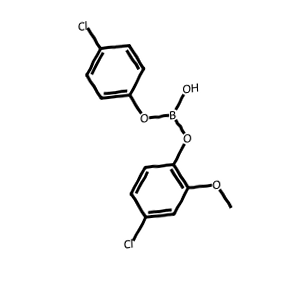 COc1cc(Cl)ccc1OB(O)Oc1ccc(Cl)cc1